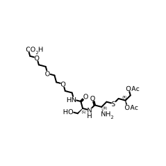 CC(=O)OC[C@H](CSC[C@H](N)C(=O)N[C@@H](CO)C(=O)NCCOCCOCCOCC(=O)O)OC(C)=O